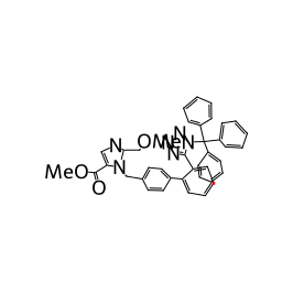 COCc1ncc(C(=O)OC)n1Cc1ccc(-c2ccccc2-c2nnnn2C(c2ccccc2)(c2ccccc2)c2ccccc2)cc1